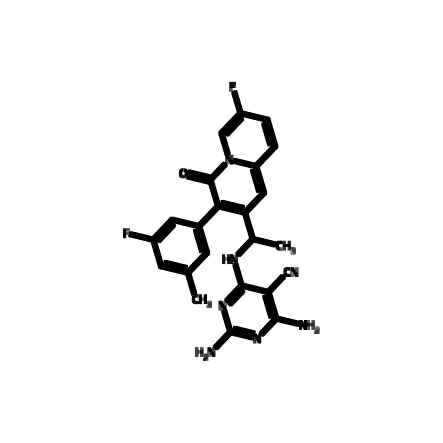 Cc1cc(F)cc(-c2c(C(C)Nc3nc(N)nc(N)c3C#N)cc3ccc(F)cn3c2=O)c1